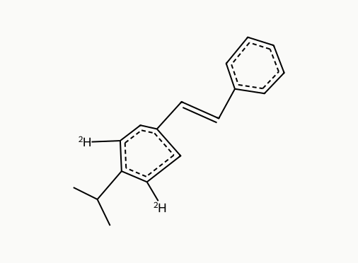 [2H]c1cc(/C=C/c2ccccc2)cc([2H])c1C(C)C